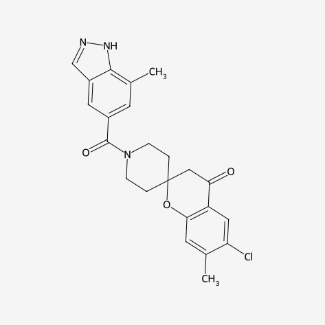 Cc1cc2c(cc1Cl)C(=O)CC1(CCN(C(=O)c3cc(C)c4[nH]ncc4c3)CC1)O2